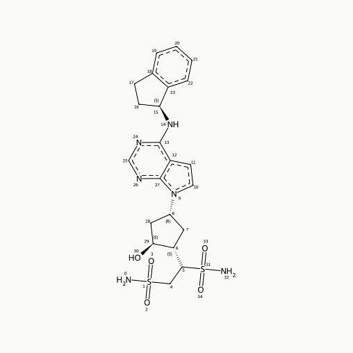 NS(=O)(=O)CC([C@H]1C[C@@H](n2ccc3c(N[C@H]4CCc5ccccc54)ncnc32)C[C@@H]1O)S(N)(=O)=O